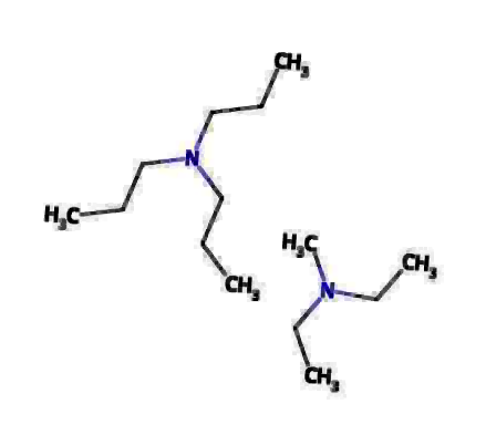 CCCN(CCC)CCC.CCN(C)CC